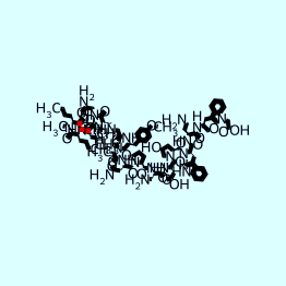 CCCC[C@@H](C(=O)N(C)[C@@H](CCCC)C(=O)N[C@@H](CC(C)C)C(=O)N[C@@H](CNCC(=O)N[C@@H](Cc1ccc(OC)cc1)C(=O)N(C)[C@@H](C)C(=O)N[C@@H](CC(N)=O)C(=O)N1CCC[C@H]1C(=O)N[C@@H](CN)C(=O)N[C@@H](CC(=O)O)C(=O)N1C[C@H](O)C[C@H]1C(=O)N[C@@H](Cc1c[nH]c2ccccc12)C(=O)N[C@@H](CCN)C(=O)N[C@H](C=O)Cc1cn(CC(=O)O)c2ccccc12)C(=O)NCC(N)=O)N(C)C